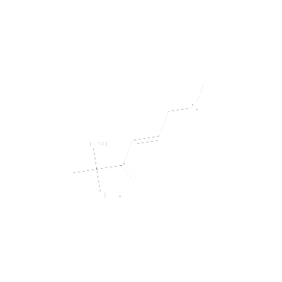 CCCCCCC(C)(CCCC)C(=O)/C=C/CN(C)C